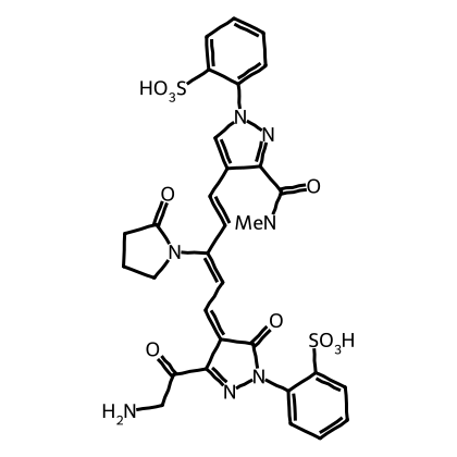 CNC(=O)c1nn(-c2ccccc2S(=O)(=O)O)cc1/C=C/C(=C/C=C1\C(=O)N(c2ccccc2S(=O)(=O)O)N=C1C(=O)CN)N1CCCC1=O